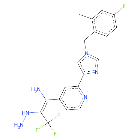 Cc1cc(F)ccc1Cn1cnc(-c2cc(/C(N)=C(/NN)C(F)(F)F)ccn2)c1